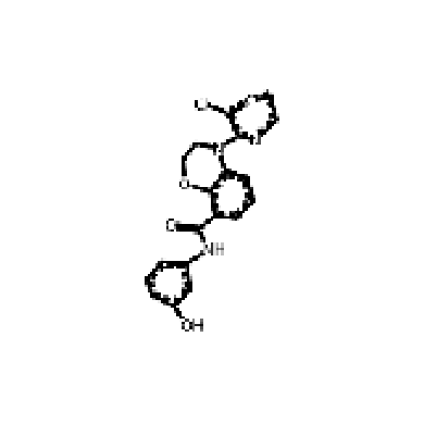 O=C(Nc1cccc(O)c1)c1cccc2c1OCCN2c1ncccc1Cl